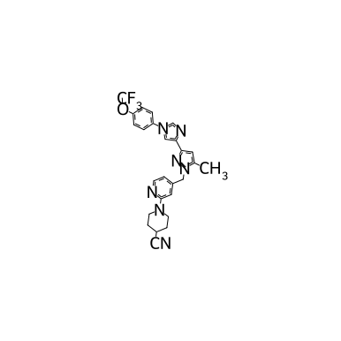 Cc1cc(-c2cn(-c3ccc(OC(F)(F)F)cc3)cn2)nn1Cc1ccnc(N2CCC(C#N)CC2)c1